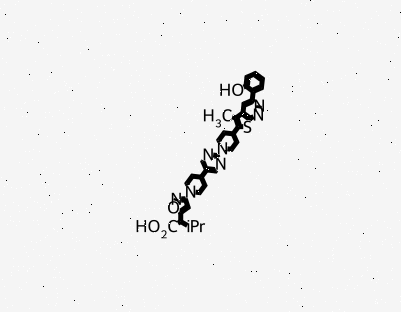 Cc1c(C2CCN(c3ncc(C4CCN(c5cc(C(C(=O)O)C(C)C)on5)CC4)cn3)CC2)sc2nnc(-c3ccccc3O)cc12